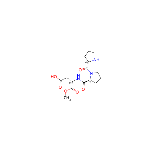 COC(=O)[C@H](CC(=O)O)NC(=O)[C@@H]1CCCN1C(=O)[C@@H]1CCCN1